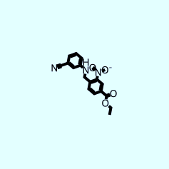 CCOC(=O)c1ccc(CNc2cccc(C#N)c2)c([N+](=O)[O-])c1